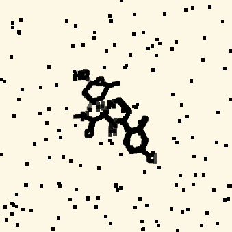 C=c1cc(Cl)cc/c1=C(/C=C\N)NCC(=O)N(C)[C@H]1CC(C)O[C@@H](O)C1